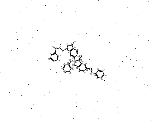 Cc1cn(CCC(C)c2ccccc2)c2cc(C3(Cc4ccncc4)C(=O)c4ccc(OCc5ccccc5)cc4C3=O)ccc12